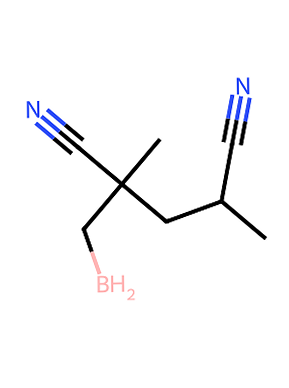 BCC(C)(C#N)CC(C)C#N